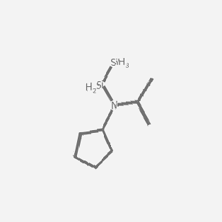 CC(C)N([SiH2][SiH3])C1CCCC1